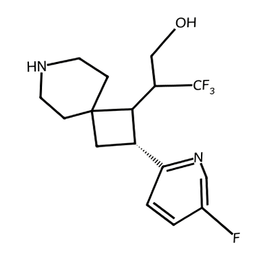 OCC(C1[C@H](c2ccc(F)cn2)CC12CCNCC2)C(F)(F)F